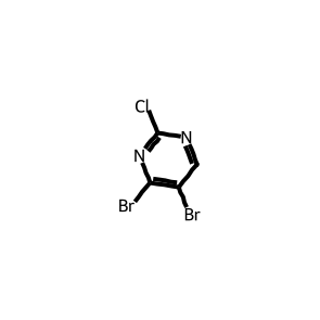 Clc1ncc(Br)c(Br)n1